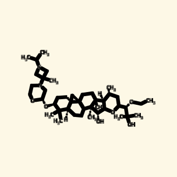 CCO[C@@H](C1C[C@@H](C)[C@H]2C(O1)[C@H](O)[C@@]1(C)C3CC[C@H]4C(C)(C)[C@@H](O[C@H]5CN(C6(C)CN(C(C)C)C6)CCO5)CC[C@@]45C[C@@]35CC[C@]21C)C(C)(C)O